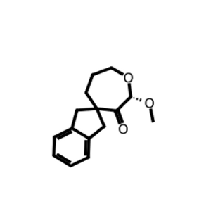 CO[C@H]1OCCCC2(Cc3ccccc3C2)C1=O